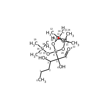 CCCC(O)C(O)([C]=O)[Si](O[Si](C)(C)C)(O[Si](C)(C)C)O[Si](C)(C)C